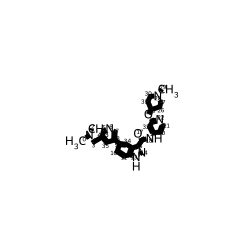 CN(C)Cc1cncc(-c2ccc3[nH]nc(C(=O)Nc4ccnc(OC5CCN(C)CC5)c4)c3c2)c1